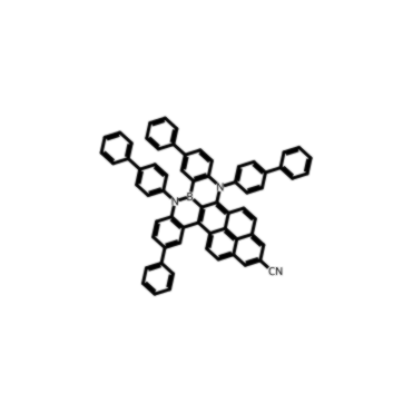 N#Cc1cc2ccc3c4c5c(c6ccc(c1)c2c36)N(c1ccc(-c2ccccc2)cc1)c1ccc(-c2ccccc2)cc1B5N(c1ccc(-c2ccccc2)cc1)c1ccc(-c2ccccc2)cc1-4